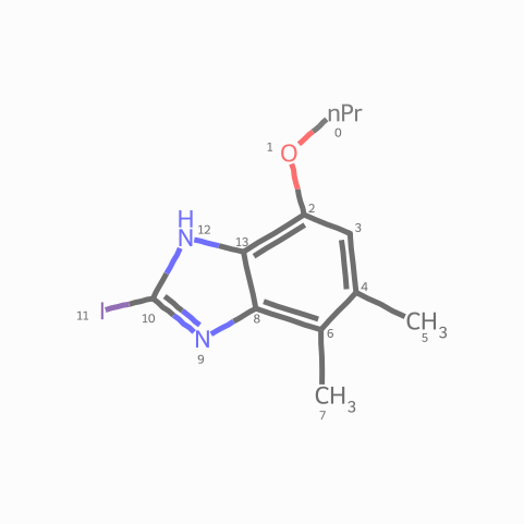 CCCOc1cc(C)c(C)c2nc(I)[nH]c12